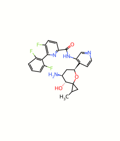 CC1CC12O[C@H](c1ccncc1NC(=O)c1ccc(F)c(-c3c(F)cccc3F)n1)C[C@H](N)[C@H]2O